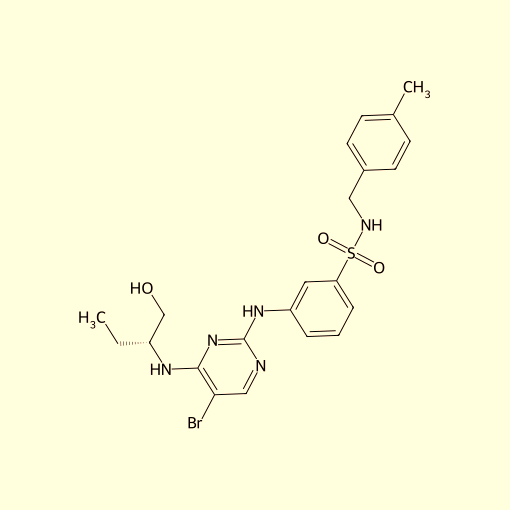 CC[C@H](CO)Nc1nc(Nc2cccc(S(=O)(=O)NCc3ccc(C)cc3)c2)ncc1Br